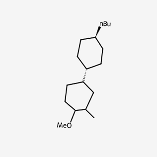 CCCC[C@H]1CC[C@H](C2CCC(OC)C(C)C2)CC1